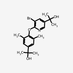 Cc1cc(C(C)(C)O)cc(C)c1Oc1ncc(C(C)(C)O)cc1Br